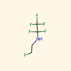 FCCNC(F)(F)C(F)(F)F